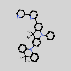 CC1(C)c2ccccc2N(c2ccc3c(c2)C(C)(C)c2cc(-c4cccc(-c5cccnc5)n4)ccc2N3c2ccccc2)c2ccccc21